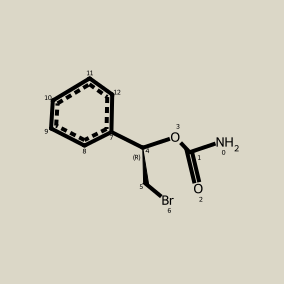 NC(=O)O[C@@H](CBr)c1ccccc1